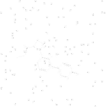 COc1c(-c2cnc(C)cn2)cccc1C1CCN1C(=O)OC(C)(C)C